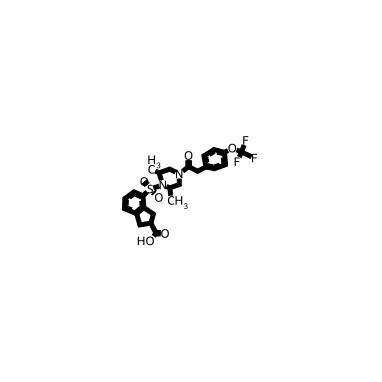 CC1CN(C(=O)Cc2ccc(OC(F)(F)F)cc2)CC(C)N1S(=O)(=O)c1cccc2c1CC(C(=O)O)C2